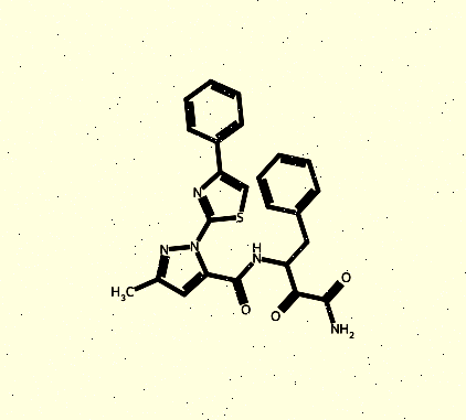 Cc1cc(C(=O)NC(Cc2ccccc2)C(=O)C(N)=O)n(-c2nc(-c3ccccc3)cs2)n1